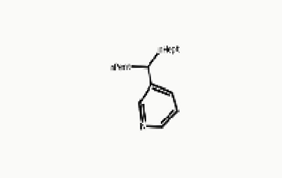 CCCCCCCC(CCCCC)c1cccnc1